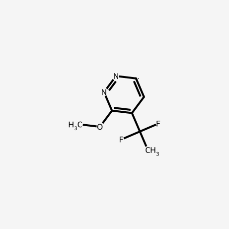 COc1nn[c]cc1C(C)(F)F